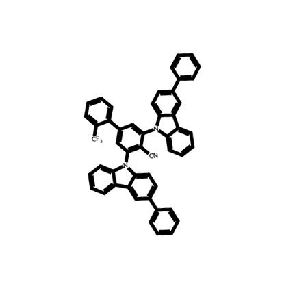 N#Cc1c(-n2c3ccccc3c3cc(-c4ccccc4)ccc32)cc(-c2ccccc2C(F)(F)F)cc1-n1c2ccccc2c2cc(-c3ccccc3)ccc21